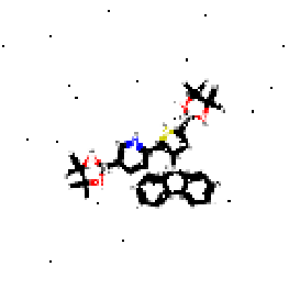 CC1(C)OB(c2ccc(-c3sc(B4OC(C)(C)C(C)(C)O4)cc3B3c4ccccc4-c4ccccc43)nc2)OC1(C)C